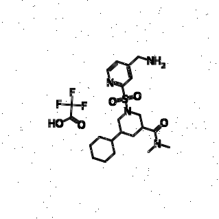 CN(C)C(=O)C1CC(C2CCCCC2)CN(S(=O)(=O)c2cc(CN)ccn2)C1.O=C(O)C(F)(F)F